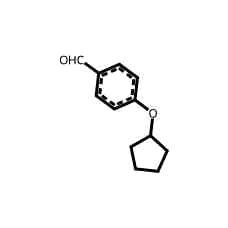 O=Cc1ccc(OC2CCCC2)cc1